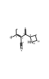 C=C(/C(C#N)=C(\C)F)C1CCN1